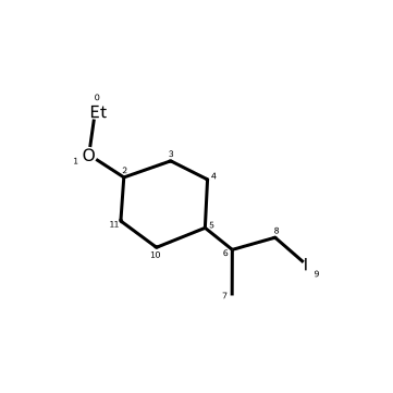 CCOC1CCC(C(C)CI)CC1